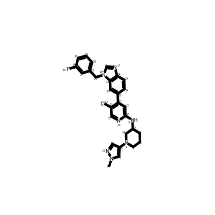 Cn1cc(N2CCCC(Nc3cc(-c4ccc5ncn(Cc6cccc(F)c6)c5c4)c(Cl)cn3)C2)cn1